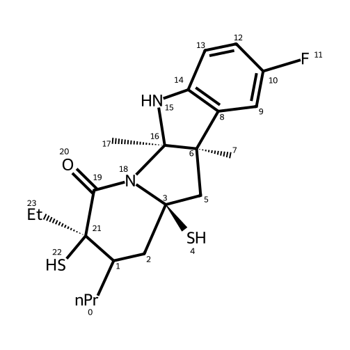 CCCC1C[C@@]2(S)C[C@]3(C)c4cc(F)ccc4N[C@]3(C)N2C(=O)[C@@]1(S)CC